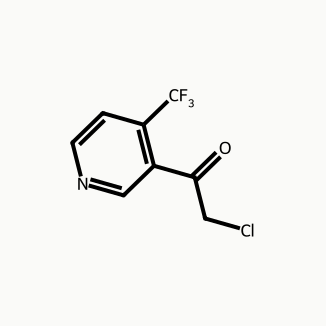 O=C(CCl)c1cnccc1C(F)(F)F